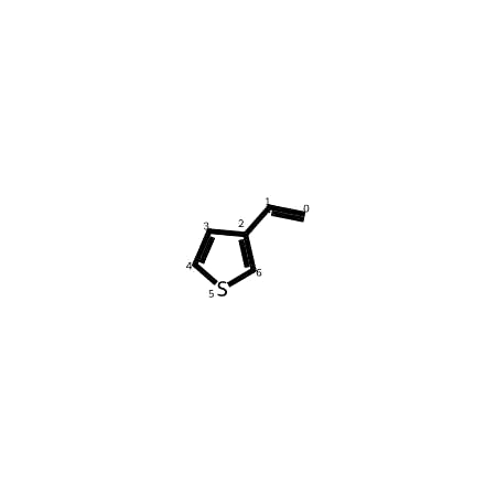 C=[C]c1ccsc1